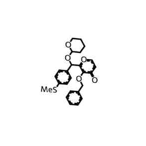 CSc1ccc(C(OC2CCCCO2)c2occc(=O)c2OCc2ccccc2)cc1